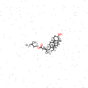 CC(C)CCOC(=O)CC[C@H](C)[C@H]1CC[C@H]2[C@@H]3CC[C@@H]4C[C@H](O)CC[C@]4(C)[C@H]3CC[C@]12C